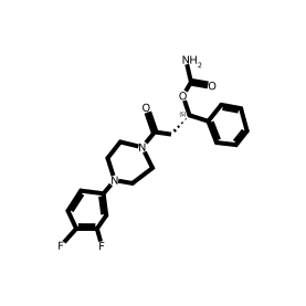 NC(=O)O[C@@H](CC(=O)N1CCN(c2ccc(F)c(F)c2)CC1)c1ccccc1